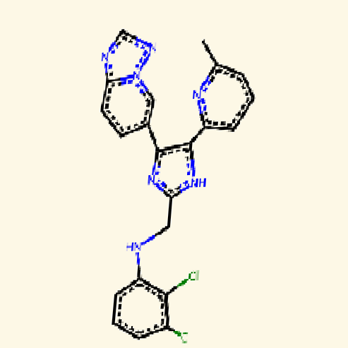 Cc1cccc(-c2[nH]c(CNc3cccc(Cl)c3Cl)nc2-c2ccc3ncnn3c2)n1